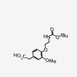 COc1cc(CC(=O)O)ccc1OCCNC(=O)OC(C)(C)C